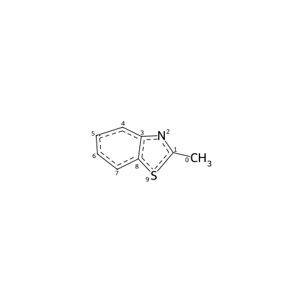 Cc1nc2c[c]ccc2s1